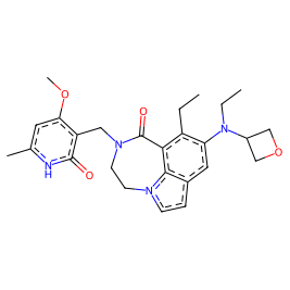 CCc1c(N(CC)C2COC2)cc2ccn3c2c1C(=O)N(Cc1c(OC)cc(C)[nH]c1=O)CC3